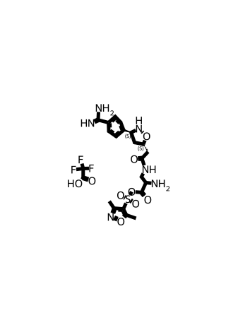 Cc1noc(C)c1S(=O)(=O)OC(=O)C(N)CNC(=O)C[C@@H]1C[C@@H](c2ccc(C(=N)N)cc2)NO1.O=C(O)C(F)(F)F